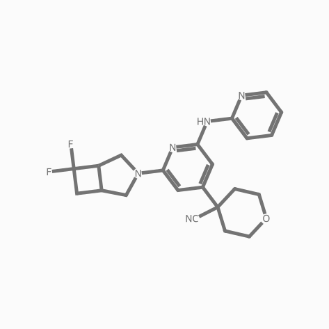 N#CC1(c2cc(Nc3ccccn3)nc(N3CC4CC(F)(F)C4C3)c2)CCOCC1